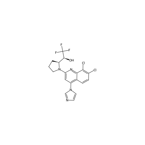 O[C@@H]([C@@H]1CCCN1c1cc(-n2ccnc2)c2ccc(Cl)c(Cl)c2n1)C(F)(F)F